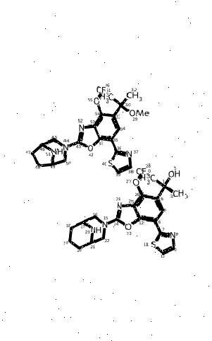 CC(C)(O)c1cc(-c2nccs2)c2oc(N3CC4CCCC(C3)N4)nc2c1OC(F)(F)F.COC(C)(C)c1cc(-c2nccs2)c2oc(N3CC4CCC(C3)N4)nc2c1OC(F)(F)F